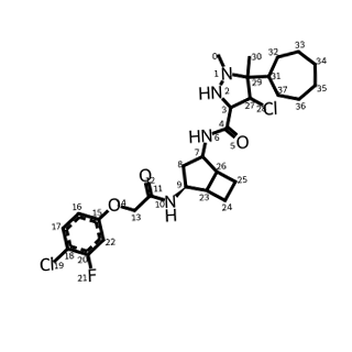 CN1NC(C(=O)NC2C[C@H](NC(=O)COc3ccc(Cl)c(F)c3)C3CCC23)C(Cl)C1(C)C1CCCCCC1